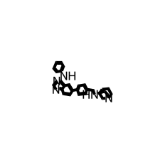 c1ccc(Nc2ncnc3ccc(-c4ccc(CNC5CN6CCC5CC6)cc4)cc23)cc1